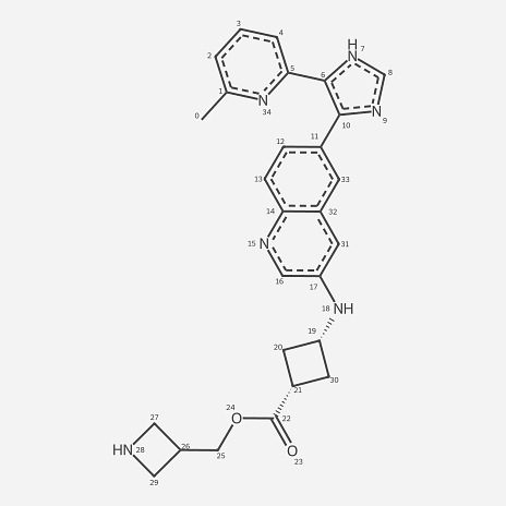 Cc1cccc(-c2[nH]cnc2-c2ccc3ncc(N[C@H]4C[C@@H](C(=O)OCC5CNC5)C4)cc3c2)n1